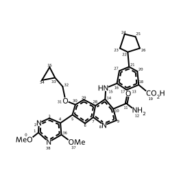 COc1ncc(-c2cc3ncc(C(N)=O)c(Nc4cc(C(=O)O)cc(C5CCCC5)c4)c3cc2OCC2CC2)c(OC)n1